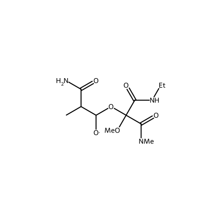 CCNC(=O)C(OC)(OC([O])C(C)C(N)=O)C(=O)NC